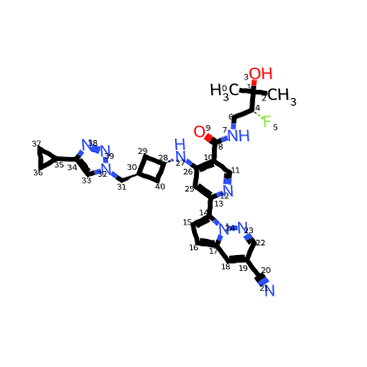 CC(C)(O)[C@H](F)CNC(=O)c1cnc(-c2ccc3cc(C#N)cnn23)cc1N[C@H]1C[C@H](Cn2cc(C3CC3)nn2)C1